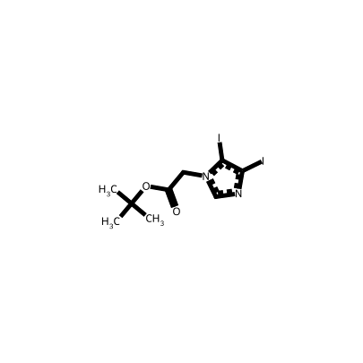 CC(C)(C)OC(=O)Cn1cnc(I)c1I